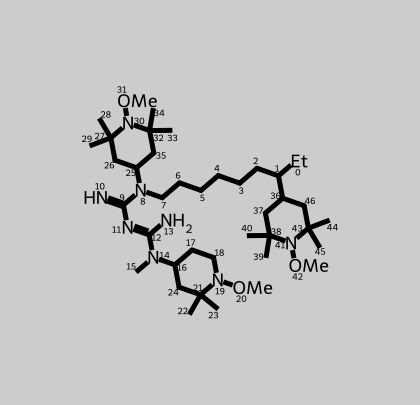 CCC(CCCCCCN(C(=N)/N=C(\N)N(C)C1CCN(OC)C(C)(C)C1)C1CC(C)(C)N(OC)C(C)(C)C1)C1CC(C)(C)N(OC)C(C)(C)C1